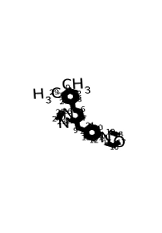 Cc1ccc(-c2ccc(Cc3ccc(N4CCOCC4)cc3)c3nccn23)cc1C